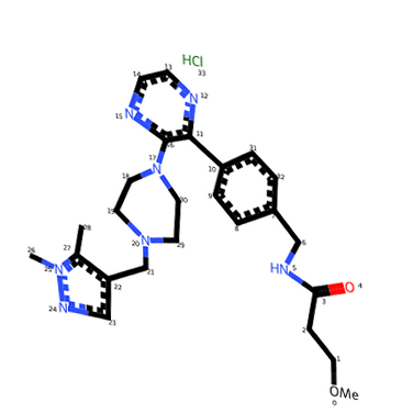 COCCC(=O)NCc1ccc(-c2nccnc2N2CCN(Cc3cnn(C)c3C)CC2)cc1.Cl